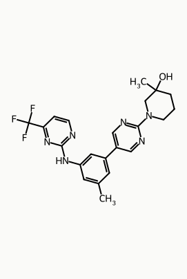 Cc1cc(Nc2nccc(C(F)(F)F)n2)cc(-c2cnc(N3CCCC(C)(O)C3)nc2)c1